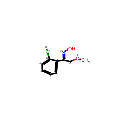 COCC(=NO)c1ccccc1Br